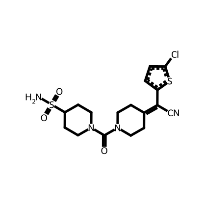 N#CC(=C1CCN(C(=O)N2CCC(S(N)(=O)=O)CC2)CC1)c1ccc(Cl)s1